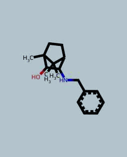 CC1(C)C2CCC1(C)C(O)C2NCc1ccccc1